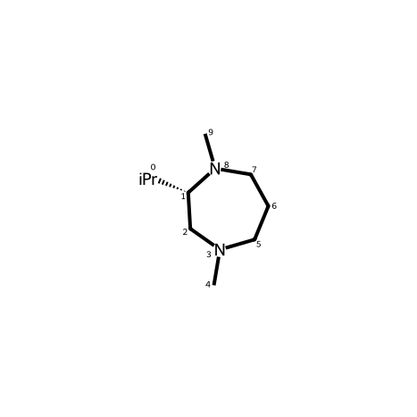 CC(C)[C@H]1CN(C)CCCN1C